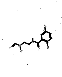 O=CN(O)CCNC(=O)c1cc(O)ccc1Cl